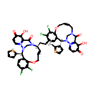 Cc1sccc1[C@@H]1c2cc(CC[C@H]3/C=C/COc4c(ccc(F)c4F)[C@@H](c4cccs4)N4CN3C(=O)c3c(O)c(=O)ccn34)c(F)c(F)c2OC/C=C\CN2CN1n1ccc(=O)c(O)c1C2=O